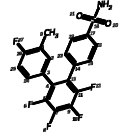 Cc1cc(-c2c(F)c(F)c(F)c(F)c2-c2ccc(S(N)(=O)=O)cc2)ccc1F